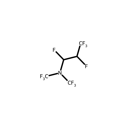 FC(C(F)C(F)(F)F)N(C(F)(F)F)C(F)(F)F